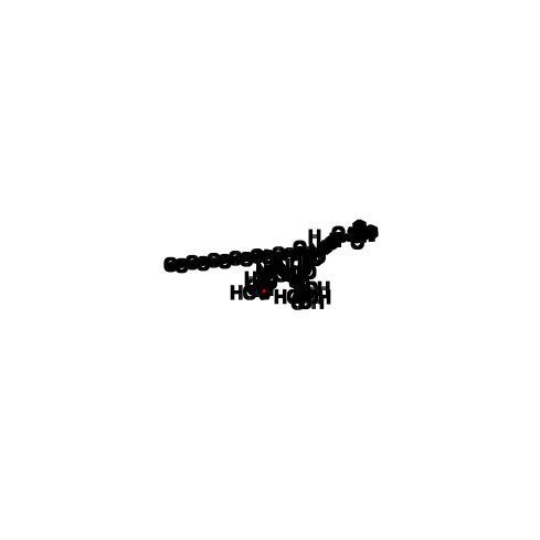 C=Cc1ccccc1N(Cc1ccccc1C)C(=O)CCCCC(=O)N1CCC2(CCC(C(=O)N[C@@H](CNC(=O)CCOCCOCCOCCOCCOCCOCCOCCOCCOCCOCCOCCOC)C(=O)NCCC(=O)NCc3cc(COC(=O)Nc4cccc(C(C)(C)[C@H](NC)C(=O)N[C@H](C(=O)N(C)[C@H](/C=C(\C)C(=O)O)C(C)C)C(C)(C)C)c4)ccc3O[C@@H]3O[C@H](C(=O)O)[C@@H](O)[C@H](O)[C@H]3O)CC2)CC1